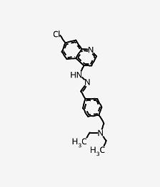 CCN(CC)Cc1ccc(C=NNc2ccnc3cc(Cl)ccc23)cc1